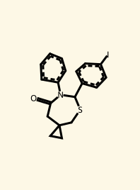 O=C1CC2(CC2)CSC(c2ccc(I)cc2)N1c1ccccc1